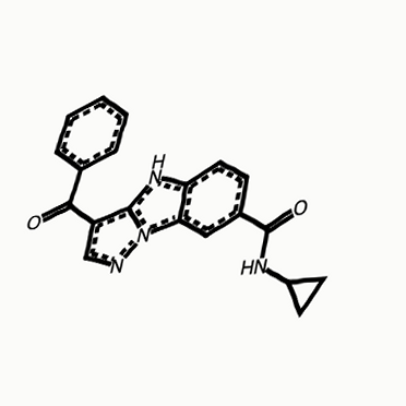 O=C(NC1CC1)c1ccc2[nH]c3c(C(=O)c4ccccc4)cnn3c2c1